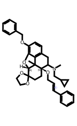 CN(CC1CC1)C1Cc2ccc(OCc3ccccc3)c3c2C2(C)[C@@H](O3)C3(CC[C@@]12OC/C=C/c1ccccc1)OCCO3